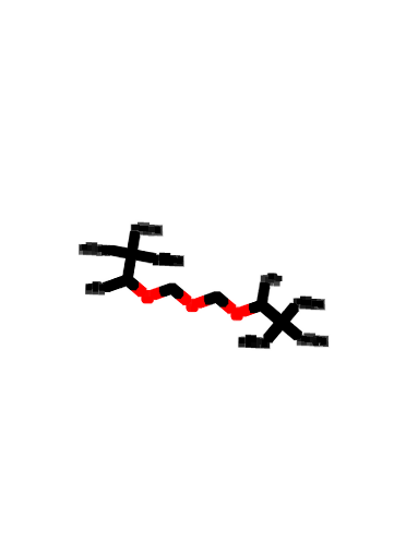 CCCCCCC(CCCCCC)(CCCCCC)C(CCC)OCOCOC(CCC)C(CCCCCC)(CCCCCC)CCCCCC